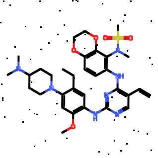 C=Cc1cnc(Nc2cc(CC)c(N3CCC(N(C)C)CC3)cc2OC)nc1Nc1ccc2c(c1N(C)S(C)(=O)=O)OCCO2